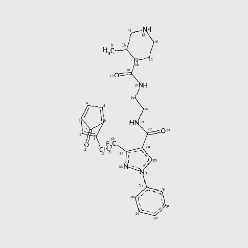 CC1=CC2=CC=C1C2=O.CC1CNCCN1C(=O)NCCNC(=O)c1cn(-c2ccccc2)nc1C(F)(F)F